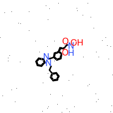 O=C(NO)c1cc2cc(-c3nc4ccccc4n3CCc3ccccc3)ccc2o1